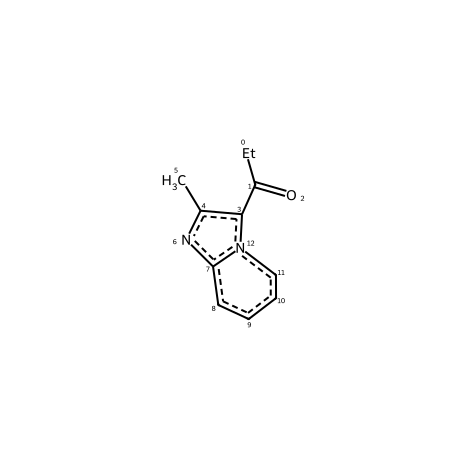 CCC(=O)c1c(C)nc2ccccn12